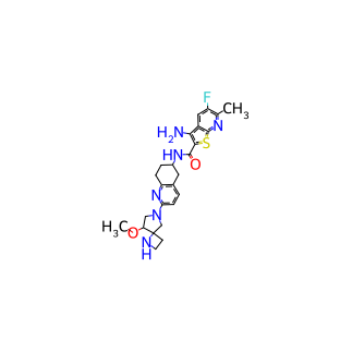 COC1CN(c2ccc3c(n2)CCC(NC(=O)c2sc4nc(C)c(F)cc4c2N)C3)CC12CCN2